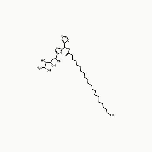 CCCCCCCCCCCCCCCCCCCCCC(=O)OC(c1cnco1)c1nc(C(O)CC(O)C(O)C(C)O)co1